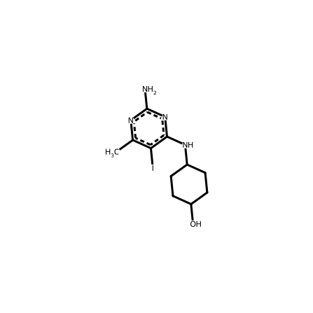 Cc1nc(N)nc(NC2CCC(O)CC2)c1I